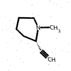 C#C[C@@H]1CCCCN1C